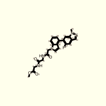 COC(=O)CNC(=O)CNC(=O)Cn1ccc2c(-c3cc4c(cnn4C)cc3F)cccc21